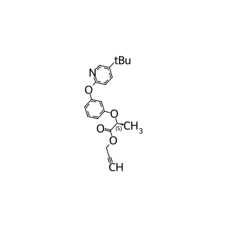 C#CCOC(=O)[C@H](C)Oc1cccc(Oc2ccc(C(C)(C)C)cn2)c1